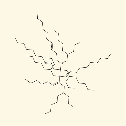 CCCCCC=C(CC(CCC)CCCCC)C(C=CCCCCCCCC)(CC(CCC)CCCCC)C(CC=CCCCCCCC)(CC(CCC)CCCCC)[C](CCC=CCCCCCC)CC(CCC)CCCCC